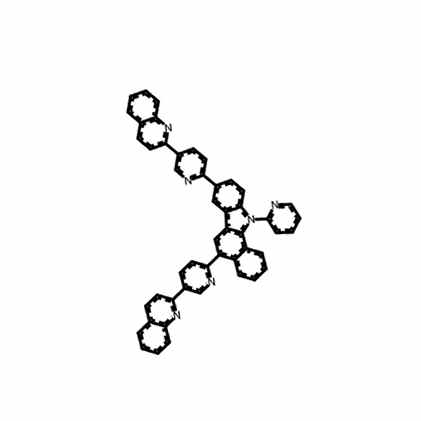 c1ccc(-n2c3ccc(-c4ccc(-c5ccc6ccccc6n5)cn4)cc3c3cc(-c4ccc(-c5ccc6ccccc6n5)cn4)c4ccccc4c32)nc1